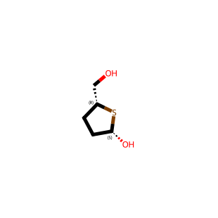 OC[C@H]1CC[C@@H](O)S1